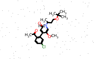 COC(=C/N(C)C(C)CCOC(C)(C)C)/C(=C\C=O)c1cc(Cl)ccc1C(C)=O